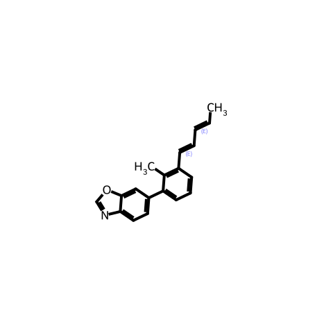 C/C=C/C=C/c1cccc(-c2ccc3ncoc3c2)c1C